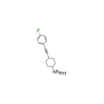 CCCCCC1CCC(C#Cc2ccc(F)cc2)CC1